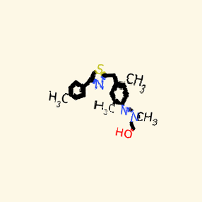 Cc1ccc(-c2csc(Cc3cc(C)c(/N=C/N(C)CCO)cc3C)n2)cc1